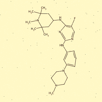 CN1CCN(c2cccc(Nc3ncc(F)c(NC4CC(C)(C)N(C)C(C)(C)C4)n3)c2)CC1